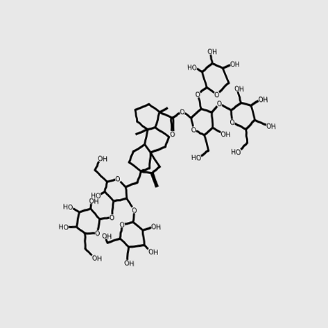 C=C1CC23CCC4C(C)(C(=O)OC5OC(CO)C(O)C(OC6OC(CO)C(O)C(O)C6O)C5OC5OCC(O)C(O)C5O)CCCC4(C)C2CCC1(CC1OC(CO)C(O)C(OC2OC(CO)C(O)C(O)C2O)C1OC1OC(CO)C(O)C(O)C1O)C3